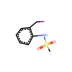 CS(=O)(=O)Nc1ccccc1CI